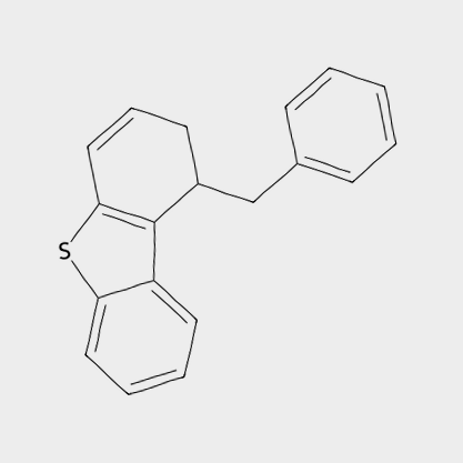 C1=Cc2sc3ccccc3c2C(Cc2ccccc2)C1